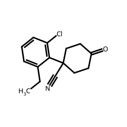 CCc1cccc(Cl)c1C1(C#N)CCC(=O)CC1